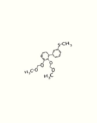 COCOc1cccc(-c2cccc(SC)c2)c1OCOC